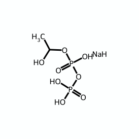 CC(O)OP(=O)(O)OP(=O)(O)O.[NaH]